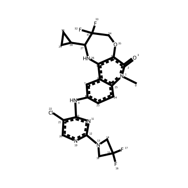 Cn1c(=O)c2c(c3cc(Nc4nc(N5CC(F)(F)C5)ncc4Cl)ccc31)NC(C1CC1)C(F)(F)CO2